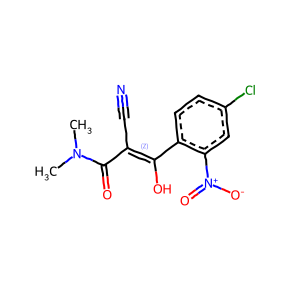 CN(C)C(=O)/C(C#N)=C(\O)c1ccc(Cl)cc1[N+](=O)[O-]